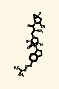 CN(C)OOSc1ccc2c(c1)CC[C@@H]2N1C(=O)[C@@H]2C[C@H]1CN2C[C@H](N)C(=O)N1C2C[C@H]2C[C@H]1C#N